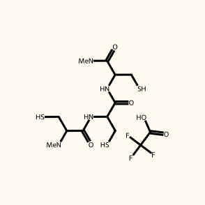 CNC(=O)C(CS)NC(=O)C(CS)NC(=O)C(CS)NC.O=C(O)C(F)(F)F